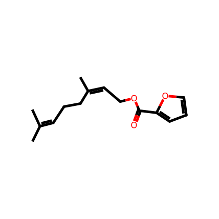 CC(C)=CCCC(C)=CCOC(=O)c1ccco1